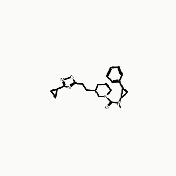 CN(C(=O)N1CCCC(CCc2nc(C3CC3)no2)C1)C1CC1c1ccccc1